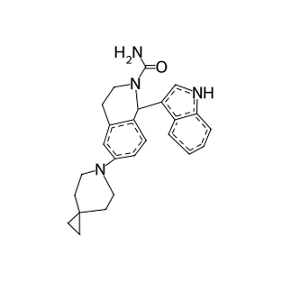 NC(=O)N1CCc2cc(N3CCC4(CC3)CC4)ccc2C1c1c[nH]c2ccccc12